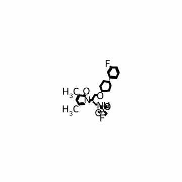 Cc1cc(C)c(=O)n([C@H](CNS(=O)(=O)CF)CO[C@H]2CC[C@@H](c3cccc(F)c3)CC2)c1